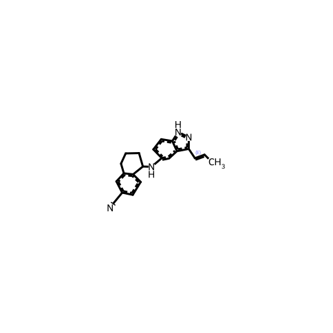 C/C=C/c1n[nH]c2ccc(NC3CCCc4cc(C#N)ccc43)cc12